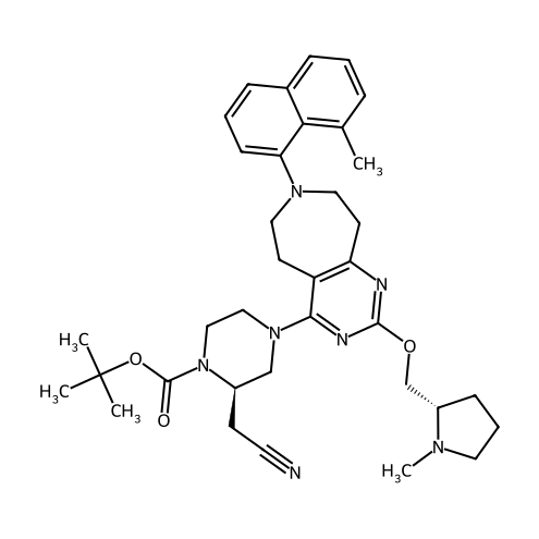 Cc1cccc2cccc(N3CCc4nc(OC[C@@H]5CCCN5C)nc(N5CCN(C(=O)OC(C)(C)C)[C@H](CC#N)C5)c4CC3)c12